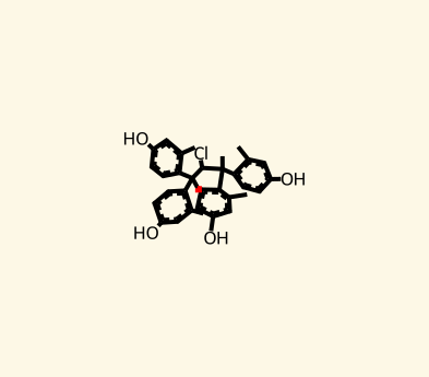 Cc1cc(O)ccc1C(C)(c1ccc(O)cc1C)C(Cl)C(C)(c1ccc(O)cc1C)c1ccc(O)cc1C